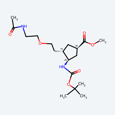 COC(=O)[C@@H]1C[C@@H](CCOCCNC(C)=O)[C@H](NC(=O)OC(C)(C)C)C1